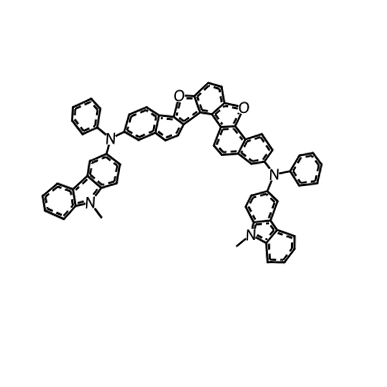 Cn1c2ccccc2c2cc(N(c3ccccc3)c3ccc4c(ccc5c4oc4ccc6oc7c8ccc(N(c9ccccc9)c9ccc%10c(c9)c9ccccc9n%10C)cc8ccc7c6c45)c3)ccc21